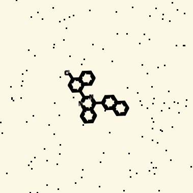 Clc1ccc(-c2nc(-c3ccc4ccccc4c3)c3ccccc3n2)c2ccccc12